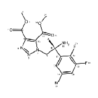 COC(=O)c1nnn(C[C@](C)(N)c2cc(Br)cc(F)c2F)c1C(=O)OC